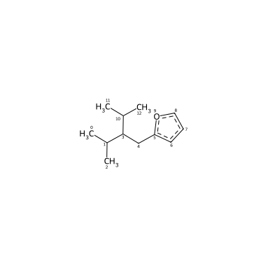 CC(C)C(Cc1ccco1)C(C)C